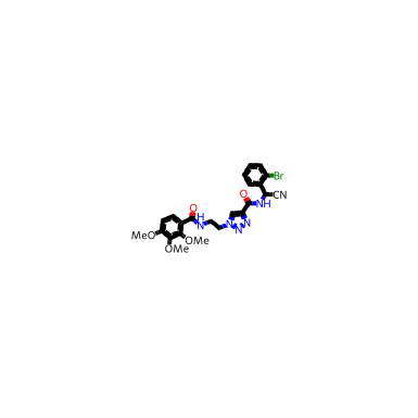 COc1ccc(C(=O)NCCn2cc(C(=O)NC(C#N)c3ccccc3Br)nn2)c(OC)c1OC